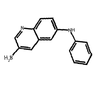 Bc1cnc2ccc(Nc3ccccc3)cc2c1